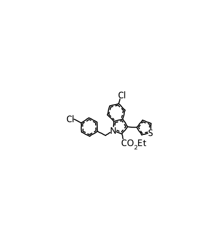 CCOC(=O)c1c(-c2ccsc2)c2cc(Cl)ccc2n1Cc1ccc(Cl)cc1